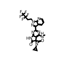 CNc1nc(-c2nn(CCC(F)(F)C(F)(F)F)c3ncccc23)nc2c1C1(C(=O)N2)C(=O)N1C1CC1